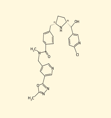 Cc1nnc(-c2cncc(CN(C)C(=O)c3ccc(C[C@@H]4CC[C@H](C(O)c5ccc(Cl)nc5)N4)cc3)c2)o1